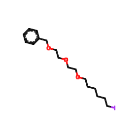 ICCCCCCOCCOCCOCc1ccccc1